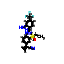 CCS(=N)(=O)c1cc(C2(C#N)CC2)ccc1N/C=C1/C=CC(C(F)(F)F)=CC1=N